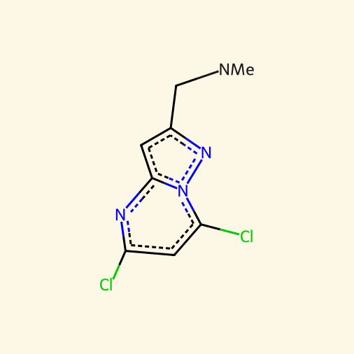 CNCc1cc2nc(Cl)cc(Cl)n2n1